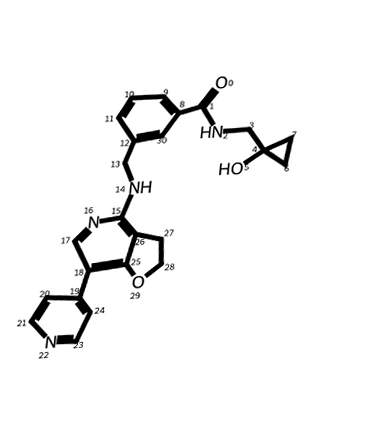 O=C(NCC1(O)CC1)c1cccc(CNc2ncc(-c3ccncc3)c3c2CCO3)c1